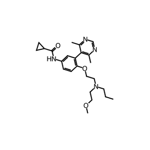 CCCN(CCOC)CCOc1ccc(NC(=O)C2CC2)cc1-c1c(C)ncnc1C